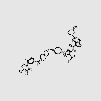 Cc1ccc(C(=O)N2CCC3(CCC(CN4CCC(n5cc(NC(=O)c6cnn7ccc(N8CCC[C@H](O)C8)nc67)c(C(F)F)n5)CC4)CC3)CC2)cc1N1CCC(=O)NC1=O